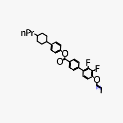 C/C=C/Oc1ccc(-c2ccc(C(=O)Oc3ccc(C4CCC(CCC)CC4)cc3)cc2)c(F)c1F